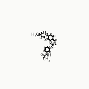 CC(=O)Nc1cccc(Nc2ncc3ccc4nc(CN(C)C)sc4c3n2)c1